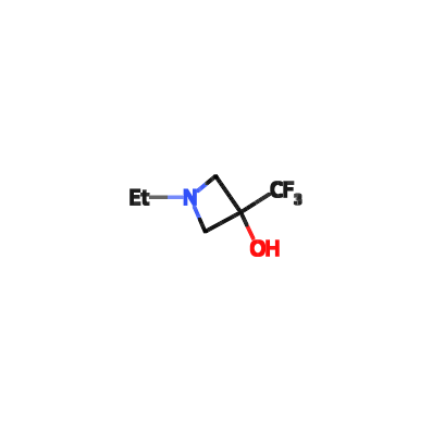 CCN1CC(O)(C(F)(F)F)C1